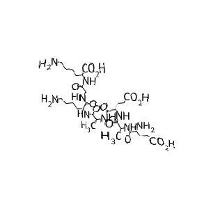 C[C@H](NC(=O)[C@H](CCC(=O)O)NC(=O)[C@H](C)NC(=O)[C@@H](N)CCC(=O)O)C(=O)N[C@@H](CCCCN)C(=O)NCC(=O)N[C@@H](CCCCN)C(=O)O